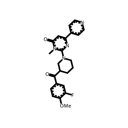 COc1ccc(C(=O)C2CCCN(c3nc(-c4ccncc4)cc(=O)n3C)C2)cc1F